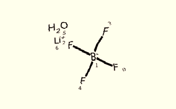 F[B-](F)(F)F.O.[Li+]